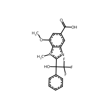 COc1cc(C(=O)O)cc2nc(C(O)(c3ccccc3)C(F)(F)F)n(C)c12